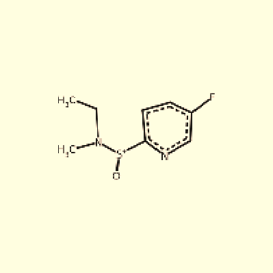 CCN(C)[S+]([O-])c1ccc(F)cn1